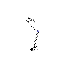 CCC(CCCCC/C=C\CCCCCCCC(=O)O)[SiH2]N